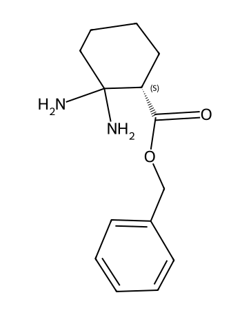 NC1(N)CCCC[C@@H]1C(=O)OCc1ccccc1